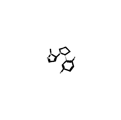 Cn1nccc1N1CCC[C@@H]1c1cc(F)ccc1F